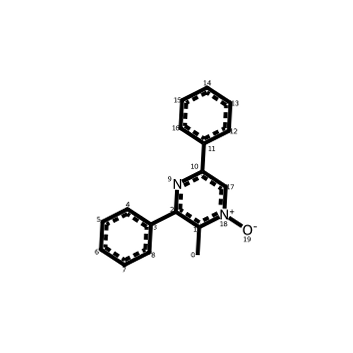 Cc1c(-c2ccccc2)nc(-c2ccccc2)c[n+]1[O-]